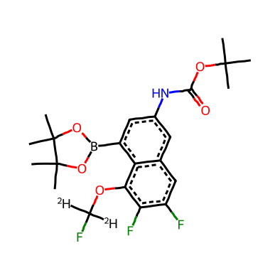 [2H]C([2H])(F)Oc1c(F)c(F)cc2cc(NC(=O)OC(C)(C)C)cc(B3OC(C)(C)C(C)(C)O3)c12